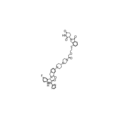 O=C1CCC(N2Cc3c(SCCOCC(=O)N4CCN(C5CCN(c6ccc7c(c6)C(=O)N(C(C(=O)Nc6nccs6)c6cc(F)ccc6O)C7)CC5)CC4)cccc3C2=O)C(=O)N1